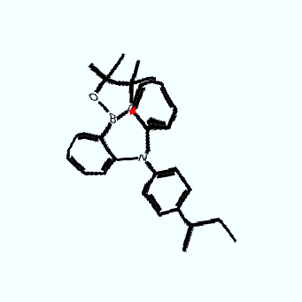 CCC(C)c1ccc(N(c2ccccc2)c2ccccc2B2OC(C)(C)C(C)(C)O2)cc1